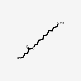 COCCCCCCCCCCOC(=O)CCCS